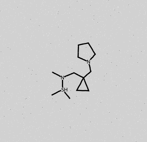 CN(CC1(CN2CCCC2)CC1)[SH](C)C